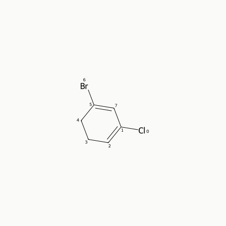 ClC1=CCCC(Br)=C1